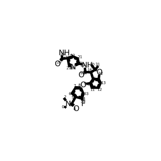 CN(C)C(=O)c1ccc(Oc2cccc3c2C(C(=O)Nc2ccc(C(N)=O)cn2)C(C)(C)O3)cc1F